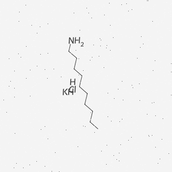 CCCCCCCCCCN.Cl.[KH]